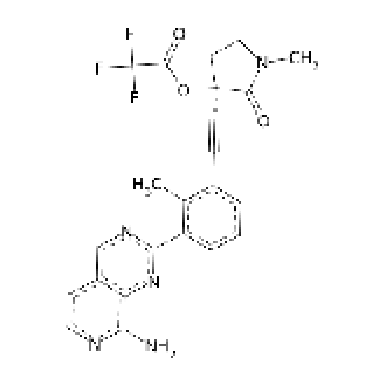 Cc1c(C#C[C@]2(OC(=O)C(F)(F)F)CCN(C)C2=O)cccc1-c1ncc2ccnc(N)c2n1